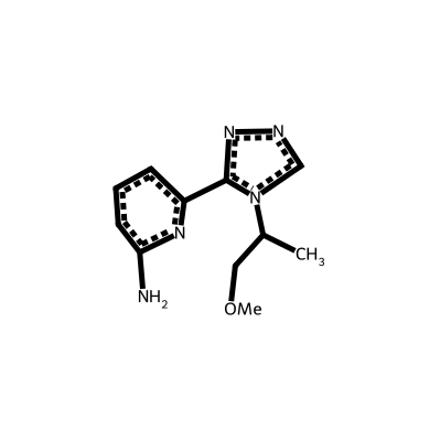 COCC(C)n1cnnc1-c1cccc(N)n1